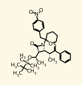 C[C@@H](O[Si](C)(C)C(C)(C)C)[C@H]1C(=O)N(C2(Cc3ccc([N+](=O)[O-])cc3)CCCCO2)[C@@H]1[C@@H](C)C(=S)c1ccccc1